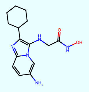 Nc1ccc2nc(C3CCCCC3)c(NCC(=O)NO)n2c1